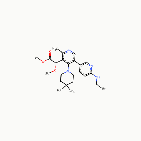 Cc1ncc(-c2ccc(NCC(C)C)nc2)c(N2CCC(C)(C)CC2)c1[C@H](OC(C)(C)C)C(=O)OC(C)C